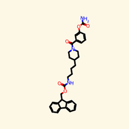 NC(=O)Oc1cccc(C(=O)N2CCC(CCCCNC(=O)OCC3c4ccccc4-c4ccccc43)CC2)c1